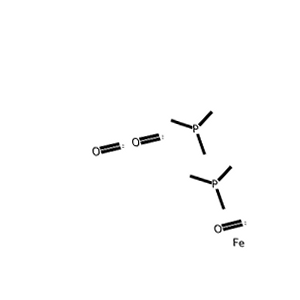 CP(C)C.CP(C)C.[C]=O.[C]=O.[C]=O.[Fe]